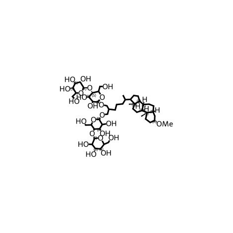 CO[C@@H]1CC[C@@]2(C)[C@H](CC[C@@H]3[C@@H]2CC[C@]2(C)C(C(C)CCCC(CO[C@@H]4OC(CO)C(O[C@@H]5OC(CO)[C@@H](O)[C@H](O)C5O)[C@H](O)C4O)CO[C@@H]4OC(CO)[C@@H](O[C@H]5OC(CO)[C@@H](O)[C@H](O)C5O)[C@H](O)C4O)CC[C@@H]32)C1